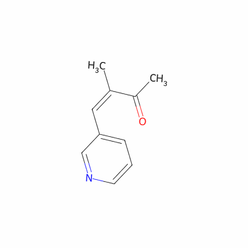 CC(=O)C(C)=Cc1cccnc1